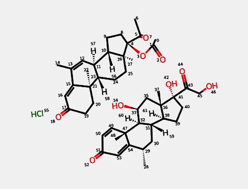 CC(=O)O[C@]1(C(C)=O)CC[C@H]2[C@@H]3C=C(C)C4=CC(=O)CC[C@]4(C)[C@H]3CC[C@@]21C.C[C@H]1C[C@@H]2[C@H]([C@@H](O)C[C@@]3(C)[C@H]2CC[C@]3(O)C(=O)CO)[C@@]2(C)C=CC(=O)C=C12.Cl